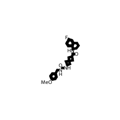 COc1ccc(CNC(=O)NC2CC3(C2)CC(C(=O)N[C@H]2CCCc4cc(F)ccc42)C3)cc1